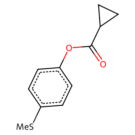 CSc1ccc(OC(=O)C2CC2)cc1